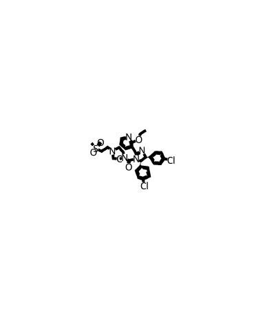 CCOc1ncccc1C1=N[C@H](c2ccc(Cl)cc2)[C@H](c2ccc(Cl)cc2)N1C(=O)N1CCN(CCS(C)(=O)=O)CC1